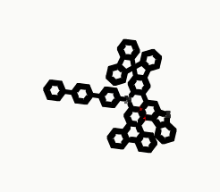 c1ccc(-c2ccc(-c3ccc(N(c4ccc5c6ccccc6c6ccccc6c5c4)c4cc5c(cc4-c4ccc6c(c4)sc4ccccc46)-c4ccccc4C54c5ccccc5-c5ccccc54)cc3)cc2)cc1